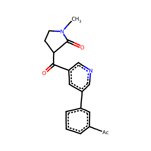 CC(=O)c1cccc(-c2cncc(C(=O)C3CCN(C)C3=O)c2)c1